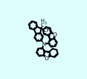 CC1(C)c2ccccc2-c2ccc(N(c3cccc4oc5c(c34)CCC=C5)c3cccc4oc5ccccc5c34)cc21